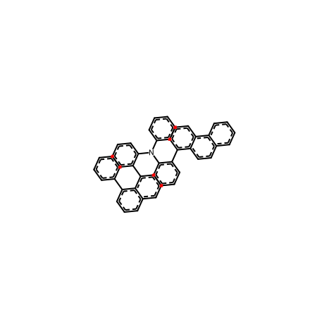 c1ccc(-c2cccc3cccc(-c4ccccc4N(c4ccccc4)c4ccccc4-c4cccc5c4ccc4ccccc45)c23)cc1